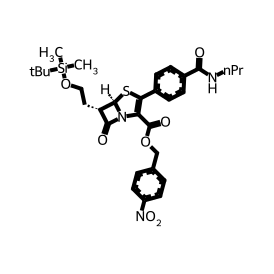 CCCNC(=O)c1ccc(C2=C(C(=O)OCc3ccc([N+](=O)[O-])cc3)N3C(=O)[C@H](CCO[Si](C)(C)C(C)(C)C)[C@H]3S2)cc1